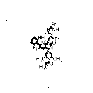 C=CC(=O)N1[C@H](C)CN(c2nc(=O)n(C/C(=N\C=N/C(=N)C(C)C)C(C)C)c3nc(-c4c(N)cccc4F)c(F)cc23)C[C@@H]1C